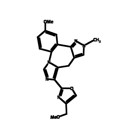 COCc1coc(-c2ncn3c2Cc2cn(C)nc2-c2cc(OC)ccc2-3)n1